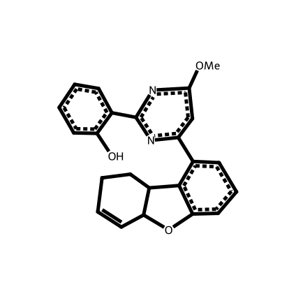 COc1cc(-c2cccc3c2C2CCC=CC2O3)nc(-c2ccccc2O)n1